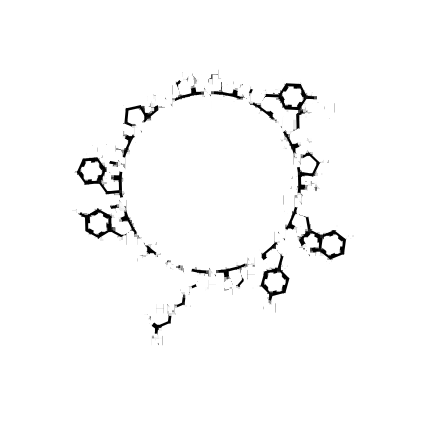 CCCC[C@H]1C(=O)N2CCC[C@@H]2C(=O)N[C@@H](CC(=O)O)C(=O)N[C@@H](C(C)C)C(=O)N(C)[C@@H](Cc2ccc(F)cc2)C(=O)N[C@@H](CCC(=O)O)C(=O)N2CCC[C@@H]2C(=O)N[C@@H](Cc2c[nH]c3ccccc23)C(=O)N[C@@H](Cc2ccc(O)cc2)C(=O)N[C@@H](CC(C)C)C(=O)N[C@H](COCNCC(N)=O)CSCC(=O)N[C@@H](Cc2ccc(F)cc2)C(=O)N(C)C(Cc2ccccc2)C(=O)N1C